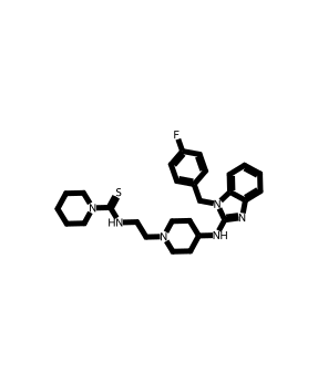 Fc1ccc(Cn2c(NC3CCN(CCNC(=S)N4CCCCC4)CC3)nc3ccccc32)cc1